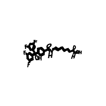 O=C(CCCCCCNC(=O)c1ccc(C(O)(c2cc(F)cc(F)c2)c2cc(F)cc(F)c2)cc1)NO